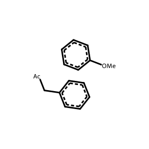 CC(=O)Cc1ccccc1.COc1ccccc1